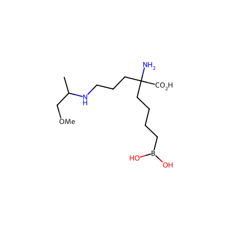 COCC(C)NCCCC(N)(CCCCB(O)O)C(=O)O